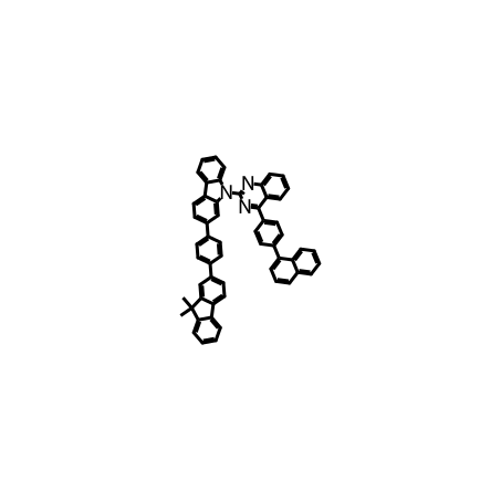 CC1(C)c2ccccc2-c2ccc(-c3ccc(-c4ccc5c6ccccc6n(-c6nc(-c7ccc(-c8cccc9ccccc89)cc7)c7ccccc7n6)c5c4)cc3)cc21